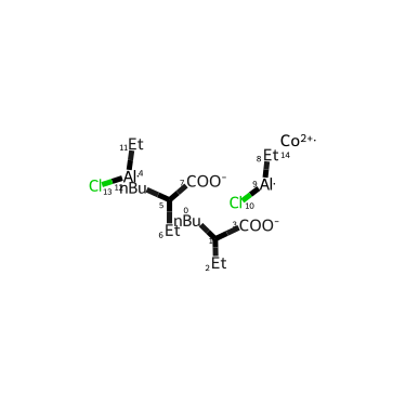 CCCCC(CC)C(=O)[O-].CCCCC(CC)C(=O)[O-].C[CH2][Al][Cl].C[CH2][Al][Cl].[Co+2]